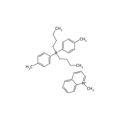 CCCC[B-](CCCC)(c1ccc(C)cc1)c1ccc(C)cc1.C[n+]1cccc2ccccc21